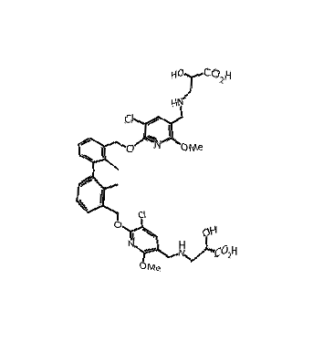 COc1nc(OCc2cccc(-c3cccc(COc4nc(OC)c(CNCC(O)C(=O)O)cc4Cl)c3C)c2C)c(Cl)cc1CNCC(O)C(=O)O